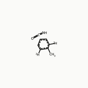 N=C=O.[2H]c1cccc([2H])c1C